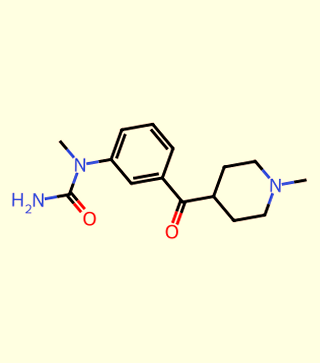 CN1CCC(C(=O)c2cccc(N(C)C(N)=O)c2)CC1